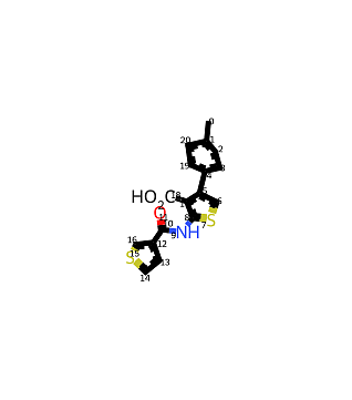 Cc1ccc(-c2csc(NC(=O)c3ccsc3)c2C(=O)O)cc1